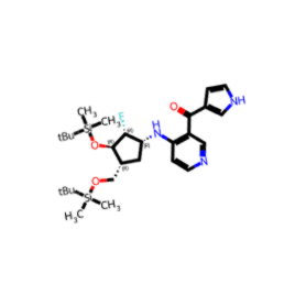 CC(C)(C)[Si](C)(C)OC[C@H]1C[C@@H](Nc2ccncc2C(=O)c2cc[nH]c2)[C@@H](F)[C@@H]1O[Si](C)(C)C(C)(C)C